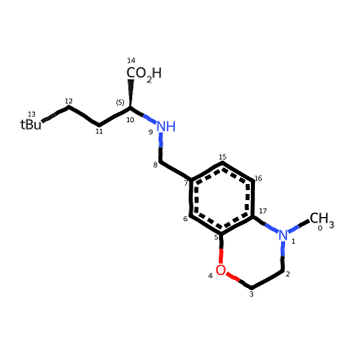 CN1CCOc2cc(CN[C@@H](CCC(C)(C)C)C(=O)O)ccc21